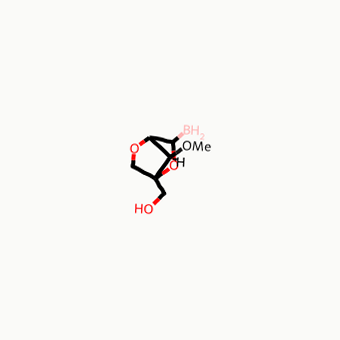 BC1OC2(CO)COC1[C@H]2OC